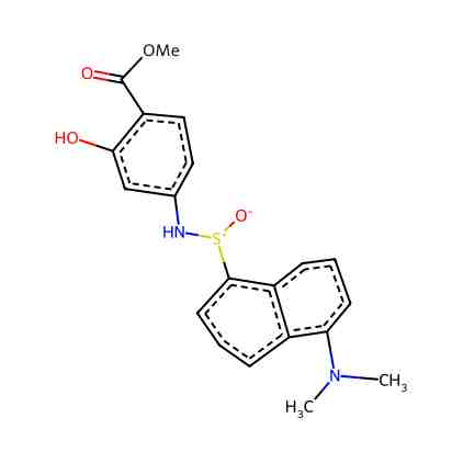 COC(=O)c1ccc(N[S+]([O-])c2cccc3c(N(C)C)cccc23)cc1O